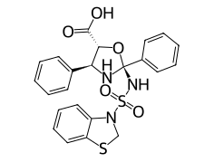 O=C(O)[C@@H]1O[C@](NS(=O)(=O)N2CSc3ccccc32)(c2ccccc2)N[C@H]1c1ccccc1